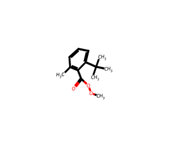 COOC(=O)c1c(C)cccc1C(C)(C)C